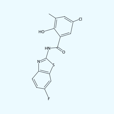 Cc1cc(Cl)cc(C(=O)Nc2nc3ccc(F)cc3s2)c1O